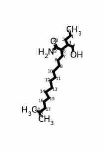 CCCC(CO)C(CCCCCCCCCCCC(C)C)C(N)=O